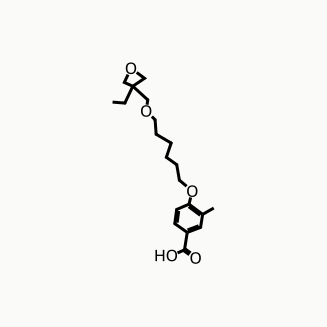 CCC1(COCCCCCCOc2ccc(C(=O)O)cc2C)COC1